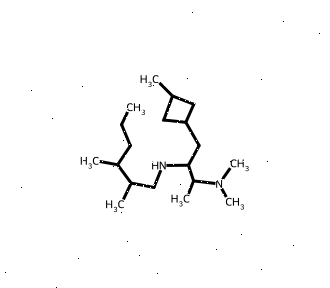 CCCC(C)C(C)CNC(CC1CC(C)C1)C(C)N(C)C